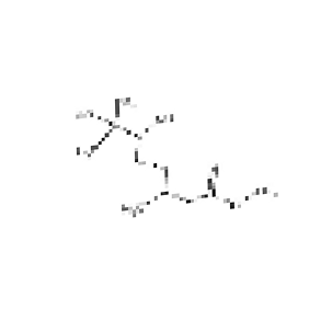 COC(=O)CC(C)CCC(O)C(C)(C)O